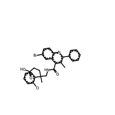 Cc1c(-c2ccccc2)nc2ccc(Br)cc2c1C(=O)NCC(C)(CCC(=O)O)c1ccccc1Cl